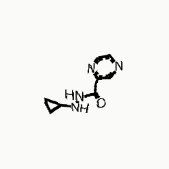 O=C(NNC1CC1)c1cnccn1